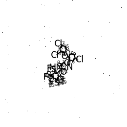 C[C@](C#N)(COc1cc(Cl)ccc1Oc1ccc(Cl)cc1Cl)NC(=O)c1c(SF)c(SF)c(SF)c(SF)c1SF